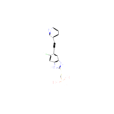 O=P(O)(O)CSc1nc2cc(C#Cc3cccnc3)c(Cl)cc2[nH]1